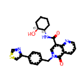 O=C(N[C@H]1CCCC[C@@H]1O)c1cn(Cc2ccc(-c3cscn3)cc2)c(=O)c2cccnc12